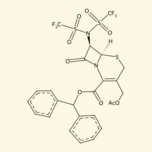 CC(=O)OCC1=C(C(=O)OC(c2ccccc2)c2ccccc2)N2C(=O)[C@@H](N(S(=O)(=O)C(F)(F)F)S(=O)(=O)C(F)(F)F)[C@H]2SC1